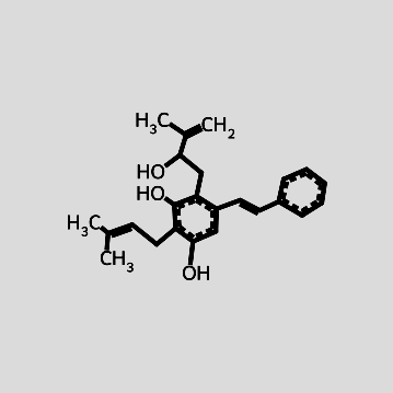 C=C(C)C(O)Cc1c(/C=C/c2ccccc2)cc(O)c(CC=C(C)C)c1O